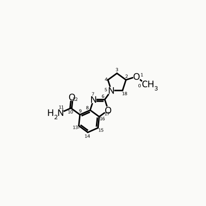 COC1CCN(c2nc3c(C(N)=O)[c]ccc3o2)C1